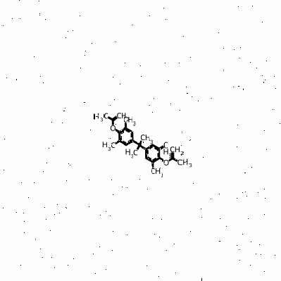 C=C(C)Oc1c(C)cc(C(C)(C)c2cc(C)c(OC(=C)C)c(C)c2)cc1C